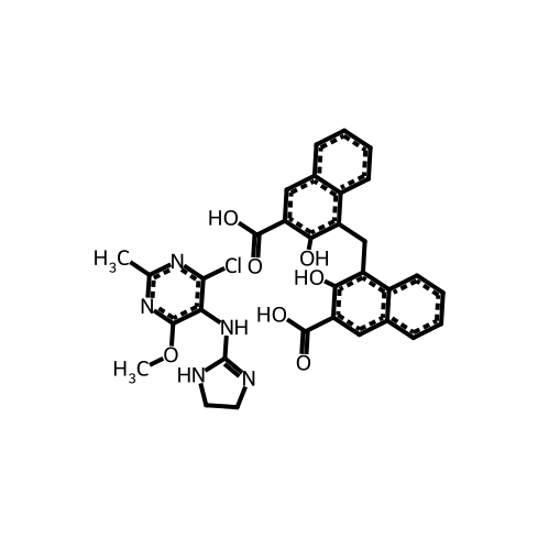 COc1nc(C)nc(Cl)c1NC1=NCCN1.O=C(O)c1cc2ccccc2c(Cc2c(O)c(C(=O)O)cc3ccccc23)c1O